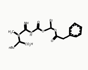 CCCCC(C(=O)O)N(C)C(=N)NC(=O)OC(CC)OC(=O)Cc1ccccc1